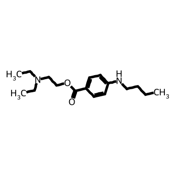 CCCCNc1ccc(C(=O)OCCN(CC)CC)cc1